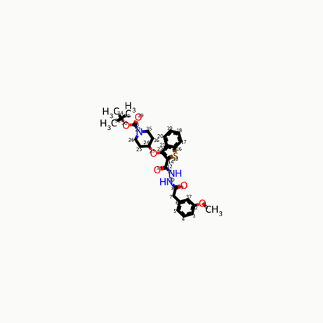 COc1cccc(CC(=O)NNC(=O)c2sc3ccccc3c2OC2CCN(C(=O)OC(C)(C)C)CC2)c1